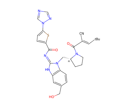 CC(C)(C)C=C(C#N)C(=O)N1CCC[C@@H]1Cn1c(=NC(=O)c2ccc(-n3cncn3)s2)[nH]c2cc(CO)ccc21